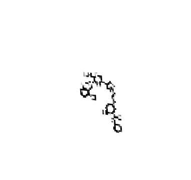 Nc1ncc(-c2cnn(CCNC3CCN[C@@H](C(=O)OC4CCCC4)C3)c2)nc1NCc1c(Cl)cccc1Cl